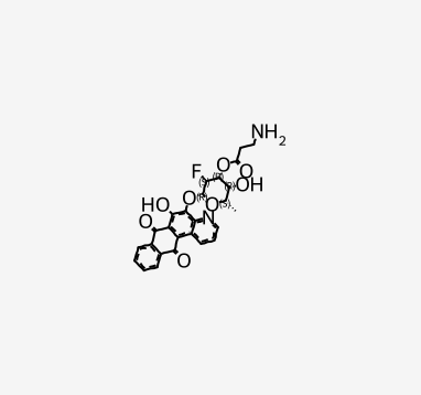 C[C@@H]1O[C@H](Oc2c(O)c3c(c4cccnc24)C(=O)c2ccccc2C3=O)[C@@H](F)[C@H](OC(=O)CCN)[C@@H]1O